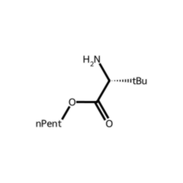 CCCCCOC(=O)[C@H](N)C(C)(C)C